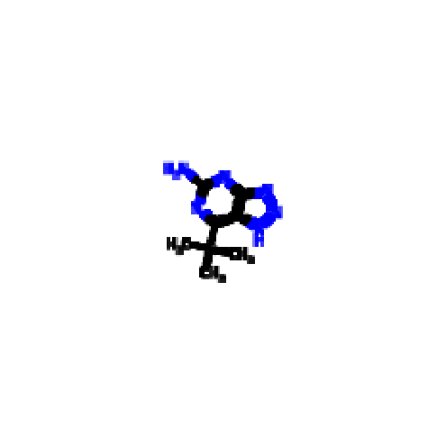 C[Si](C)(C)c1nc(N)nc2nn[nH]c12